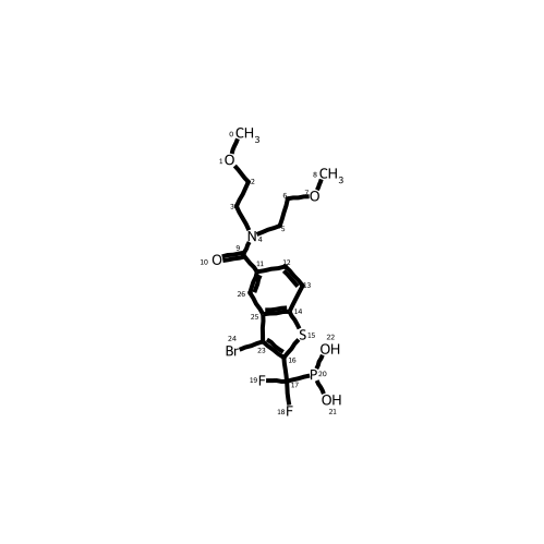 COCCN(CCOC)C(=O)c1ccc2sc(C(F)(F)P(O)O)c(Br)c2c1